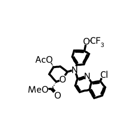 COC(=O)[C@@H]1C[C@H](OC(C)=O)CC(N(c2ccc(OC(F)(F)F)cc2)c2ccc3cccc(Cl)c3n2)O1